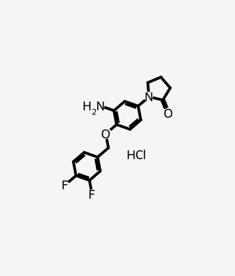 Cl.Nc1cc(N2CCCC2=O)ccc1OCc1ccc(F)c(F)c1